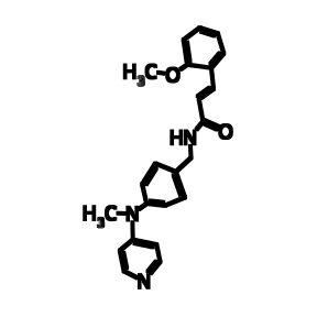 COc1ccccc1C=CC(=O)NCc1ccc(N(C)c2ccncc2)cc1